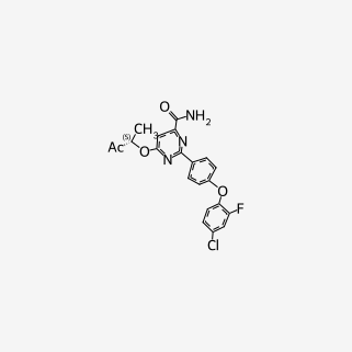 CC(=O)[C@H](C)Oc1cc(C(N)=O)nc(-c2ccc(Oc3ccc(Cl)cc3F)cc2)n1